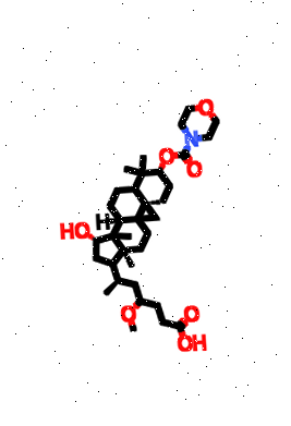 COC(CCC(=O)O)C[C@@H](C)C1C[C@H](O)C2(C)[C@@H]3CCC4C(C)(C)[C@@H](OC(=O)N5CCOCC5)CC[C@@]45CC35CC[C@]12C